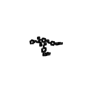 COc1ccc(COc2ccc3c(c2OCc2ccc(OC)cc2)C(=O)N(CCN2CCCC2)C3=O)cc1